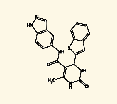 CC1=C(C(=O)Nc2ccc3[nH]ncc3c2)C(c2cc3ccccc3s2)NC(=O)N1